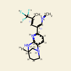 C=N/C=C(\C=C(/C)C(F)(F)F)c1ccc2c(n1)N[C@H]1CCCN2C1